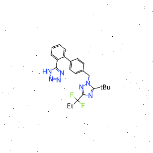 CCC(F)(F)c1nc(C(C)(C)C)n(Cc2ccc(-c3ccccc3-c3nnn[nH]3)cc2)n1